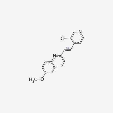 COc1ccc2nc(/C=C/c3ccncc3Cl)ccc2c1